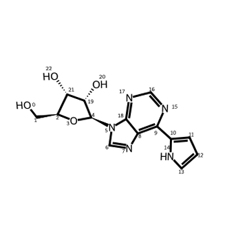 OC[C@@H]1O[C@H](n2cnc3c(-c4ccc[nH]4)ncnc32)[C@@H](O)[C@H]1O